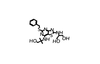 CC(C)(CO)Nc1nc(SCc2ccccc2)nc2nc(NC(CO)CO)sc12